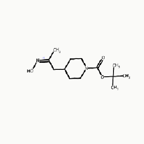 C/C(CC1CCN(C(=O)OC(C)(C)C)CC1)=N/O